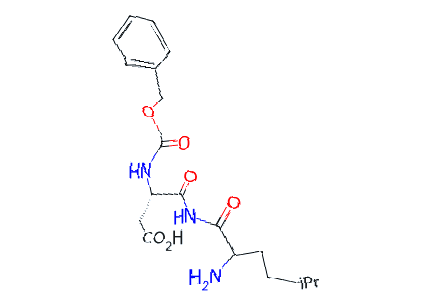 CC(C)CCC(N)C(=O)NC(=O)[C@H](CC(=O)O)NC(=O)OCc1ccccc1